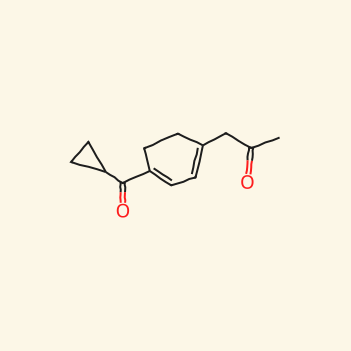 CC(=O)CC1=CC=C(C(=O)C2CC2)CC1